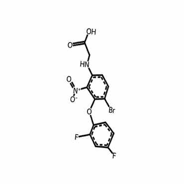 O=C(O)CNc1ccc(Br)c(Oc2ccc(F)cc2F)c1[N+](=O)[O-]